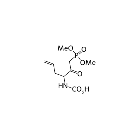 C=CCC(NC(=O)O)C(=O)CP(=O)(OC)OC